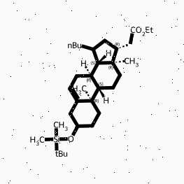 CCCCC1C[C@H](CC(=O)OCC)[C@@]2(C)CC[C@H]3[C@@H](CC=C4CC(O[Si](C)(C)C(C)(C)C)CC[C@@]43C)[C@H]12